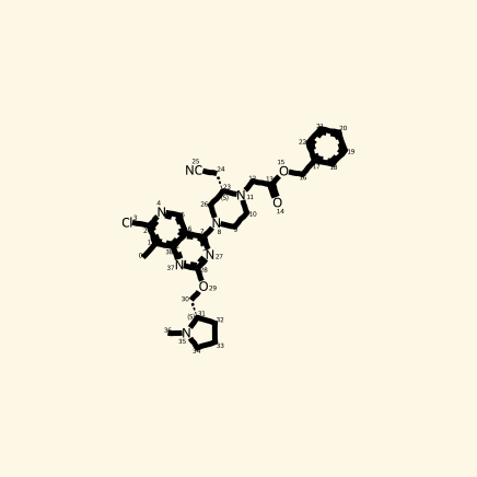 Cc1c(Cl)ncc2c(N3CCN(CC(=O)OCc4ccccc4)[C@@H](CC#N)C3)nc(OC[C@@H]3CCCN3C)nc12